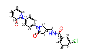 O=C(NCC1CC(=O)N(c2ccc(-n3ccccc3=O)cc2)C1)c1cccc(Cl)c1